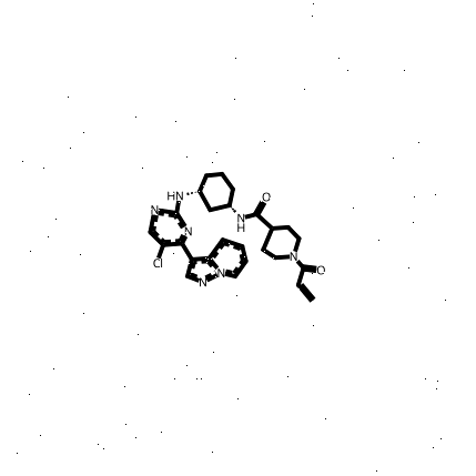 C=CC(=O)N1CCC(C(=O)N[C@H]2CCC[C@@H](Nc3ncc(Cl)c(-c4cnn5ccccc45)n3)C2)CC1